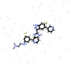 CN(C)CCNc1cc(F)cc(-c2nccc3[nH]c(-c4n[nH]c5cc(F)c(-c6cccnc6)cc45)nc23)c1